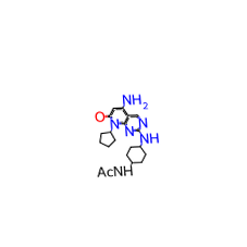 CC(=O)NC1CCC(Nc2ncc3c(N)cc(=O)n(C4CCCC4)c3n2)CC1